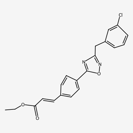 CCOC(=O)/C=C/c1ccc(-c2nc(Cc3cccc(Cl)c3)no2)cc1